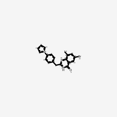 O=c1[nH]c(Cc2ccc(-n3cccc3)cc2)nc2c(I)cc(Br)cc12